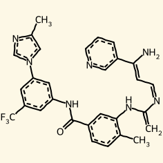 C=C(/N=C\C=C(/N)c1cccnc1)Nc1cc(C(=O)Nc2cc(-n3cnc(C)c3)cc(C(F)(F)F)c2)ccc1C